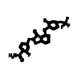 NC(=O)c1ccc(CN2Cc3ccnc(Oc4ccc(CC(F)(F)F)cc4F)c3C2=O)cc1F